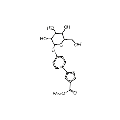 COC(=O)c1csc(-c2ccc(OC3OC(CO)C(O)C(O)C3O)cc2)c1